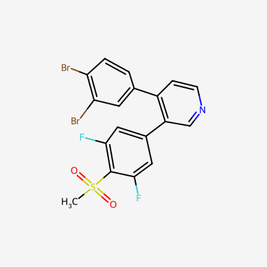 CS(=O)(=O)c1c(F)cc(-c2cnccc2-c2ccc(Br)c(Br)c2)cc1F